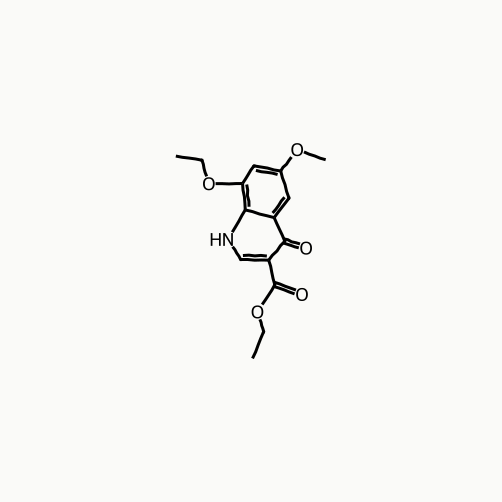 CCOC(=O)c1c[nH]c2c(OCC)cc(OC)cc2c1=O